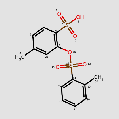 Cc1ccc(S(=O)(=O)O)c(OS(=O)(=O)c2ccccc2C)c1